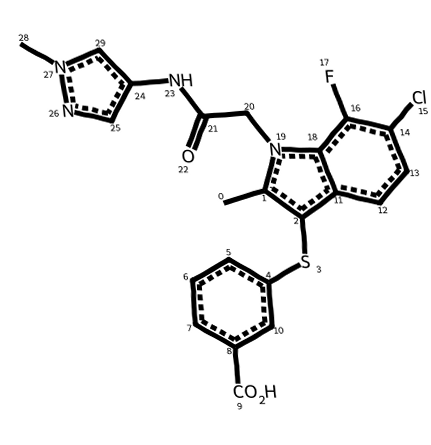 Cc1c(Sc2cccc(C(=O)O)c2)c2ccc(Cl)c(F)c2n1CC(=O)Nc1cnn(C)c1